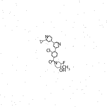 CC1(O)CCN(C(=O)c2ccc(-c3cncc(-c4ccnc(C5CC5)c4)c3)c(Cl)c2)CC1F